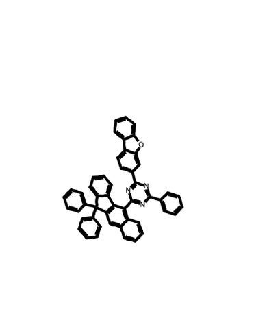 c1ccc(-c2nc(-c3ccc4c(c3)oc3ccccc34)nc(-c3c4c(cc5ccccc35)C(c3ccccc3)(c3ccccc3)c3ccccc3-4)n2)cc1